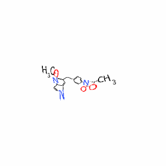 COc1nc2ccncc2cc1Cc1ccc(N2CC(C)OC2=O)cc1